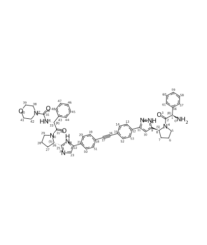 N[C@@H](C(=O)N1CCC[C@H]1c1cc(-c2ccc(C#Cc3ccc(-c4cnc([C@@H]5CCCN5C(=O)[C@H](NC(=O)N5CCOCC5)c5ccccc5)[nH]4)cc3)cc2)n[nH]1)c1ccccc1